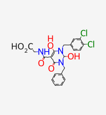 O=C(O)CNC(=O)C1=C(O)N(Cc2ccc(Cl)c(Cl)c2)C(O)N(Cc2ccccc2)C1=O